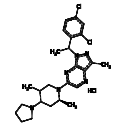 Cc1nn(C(C)c2ccc(Cl)cc2Cl)c2nc(N3CC(C)C(N4CCCC4)C[C@@H]3C)cnc12.Cl